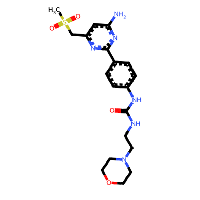 CS(=O)(=O)Cc1cc(N)nc(-c2ccc(NC(=O)NCCN3CCOCC3)cc2)n1